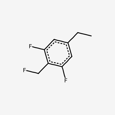 CCc1cc(F)c(CF)c(F)c1